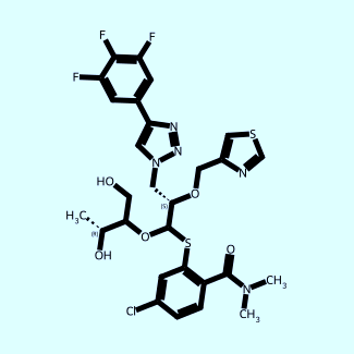 C[C@@H](O)C(CO)OC(Sc1cc(Cl)ccc1C(=O)N(C)C)[C@H](Cn1cc(-c2cc(F)c(F)c(F)c2)nn1)OCc1cscn1